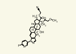 COCC(=O)O[C@]1(C(=O)SCC#N)[C@H](C)C[C@H]2[C@@H]3CCC4=Cc5c(cnn5-c5ccc(F)nc5)C[C@]4(C)[C@@]3(F)[C@@H](O)C[C@@]21C